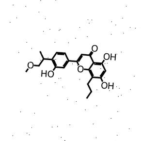 CCCc1c(O)cc(O)c2c(=O)cc(-c3ccc(C(C)COC)c(O)c3)oc12